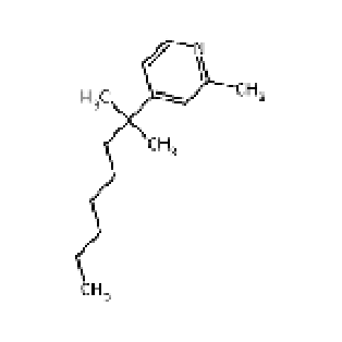 CCCCCCC(C)(C)c1ccnc(C)c1